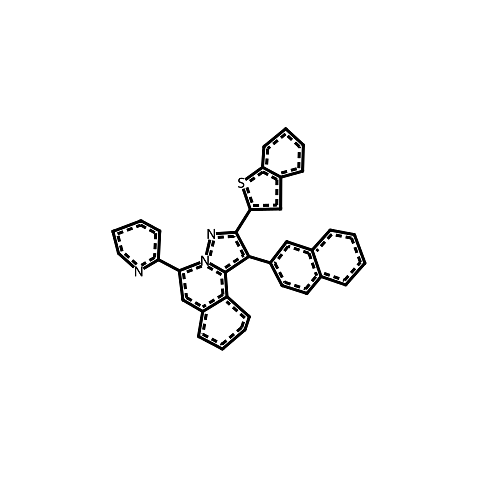 c1ccc(-c2cc3ccccc3c3c(-c4ccc5ccccc5c4)c(-c4cc5ccccc5s4)nn23)nc1